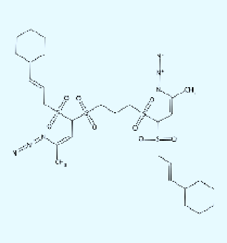 CC(=CC(S(=O)(=O)CC=CC1CCCCC1)S(=O)(=O)CCCS(=O)(=O)C(C=C(C)N=[N+]=[N-])S(=O)(=O)CC=CC1CCCCC1)N=[N+]=[N-]